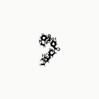 CCN1C=C(CC2(O)CCN(C(=O)c3ccc(NS(=O)(=O)c4cccc5nccnc45)cc3)CC2)CN1C